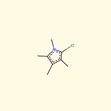 Cc1c(C)c(Cl)n(C)c1C